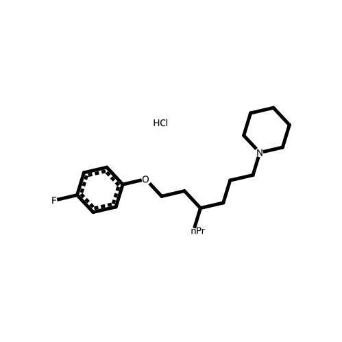 CCCC(CCCN1CCCCC1)CCOc1ccc(F)cc1.Cl